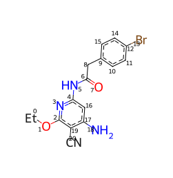 CCOc1nc(NC(=O)Cc2ccc(Br)cc2)cc(N)c1C#N